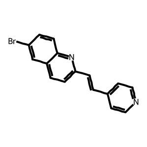 Brc1ccc2nc(/C=C/c3ccncc3)ccc2c1